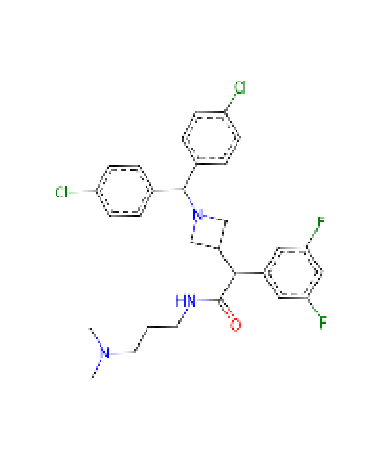 CN(C)CCCNC(=O)C(c1cc(F)cc(F)c1)C1CN(C(c2ccc(Cl)cc2)c2ccc(Cl)cc2)C1